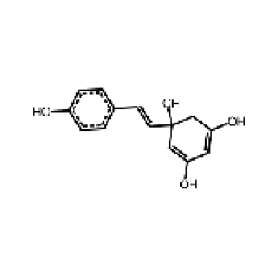 OC1=CC(O)(C=Cc2ccc(O)cc2)CC(O)=C1